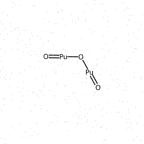 [O]=[Pu][O][Pu]=[O]